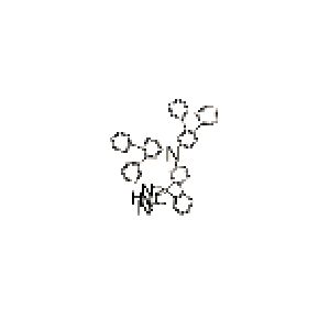 CC1(CN=[N+]=[N-])c2ccccc2-c2ccc(N(c3ccc(-c4ccccc4)c(-c4ccccc4)c3)c3ccc(-c4ccccc4)c(-c4ccccc4)c3)cc21